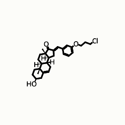 C[C@]12CC[C@H](O)CC1=CC[C@@H]1[C@@H]2CC[C@]2(C)C(=O)/C(=C/c3cccc(OCCCCl)c3)C[C@@H]12